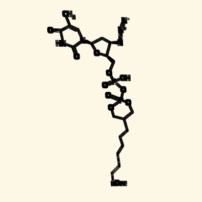 CCCCCCCCCCCCCCCCC1COP(=O)(OP(=O)(O)OC[C@H]2O[C@@H](n3cc(C)c(=O)[nH]c3=O)C[C@H]2N=[N+]=[N-])OC1